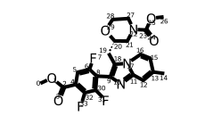 COC(=O)c1cc(F)c(-c2nc3cc(C)ccn3c2C[C@H]2CN(C(=O)OC)CCO2)c(F)c1F